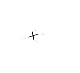 N#CC([C]=O)(C#N)C#N